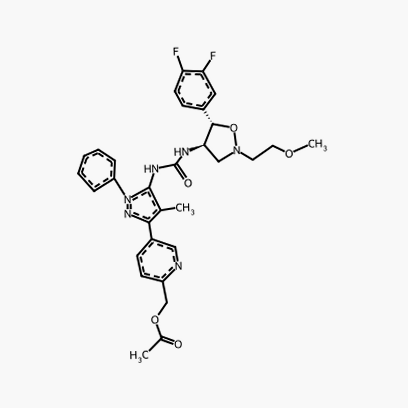 COCCN1C[C@@H](NC(=O)Nc2c(C)c(-c3ccc(COC(C)=O)nc3)nn2-c2ccccc2)[C@H](c2ccc(F)c(F)c2)O1